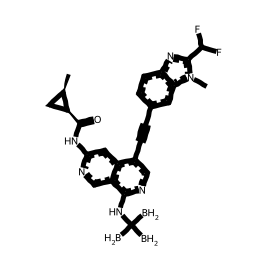 BC(B)(B)Nc1ncc(C#Cc2ccc3nc(C(F)F)n(C)c3c2)c2cc(NC(=O)[C@H]3C[C@H]3C)ncc12